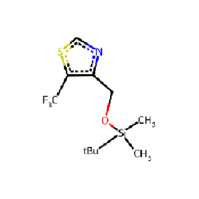 CC(C)(C)[Si](C)(C)OCc1ncsc1C(F)(F)F